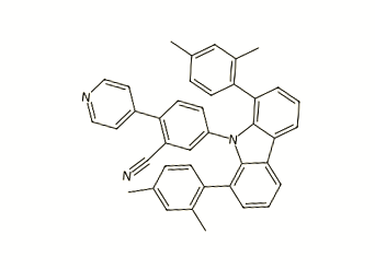 Cc1ccc(-c2cccc3c4cccc(-c5ccc(C)cc5C)c4n(-c4ccc(-c5ccncc5)c(C#N)c4)c23)c(C)c1